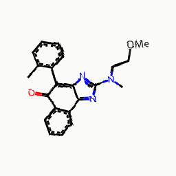 COCCN(C)C1=NC2=C(c3ccccc3C)C(=O)c3ccccc3C2=N1